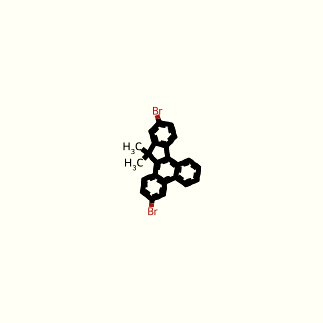 CC1(C)c2cc(Br)ccc2-c2c1c1ccc(Br)cc1c1ccccc21